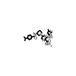 Cc1cc(Nc2nc(N3CCC[C@@H](N(C)C(=O)c4ccc(C(C)C)cc4)C3)cnc2C(N)=O)sn1